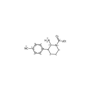 CCC(=O)N1CCCC(c2ccc(C#N)cc2)C1N